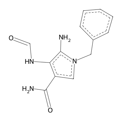 NC(=O)c1cn(Cc2ccccc2)c(N)c1NC=O